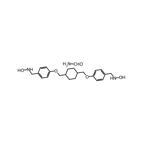 NC=O.ONCc1ccc(OCC2CCC(COc3ccc(CNO)cc3)CC2)cc1